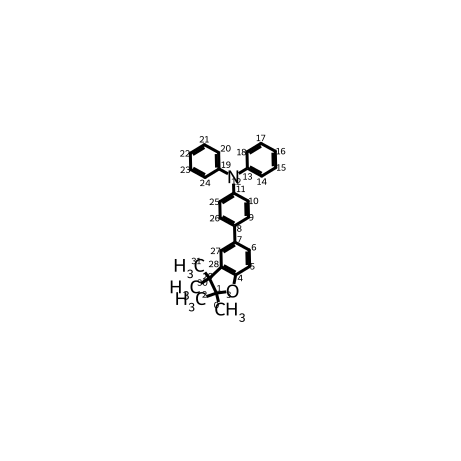 CC1(C)Oc2ccc(-c3ccc(N(c4ccccc4)c4ccccc4)cc3)cc2C1(C)C